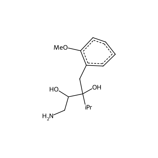 COc1ccccc1CC(O)(C(C)C)C(O)CN